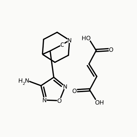 Nc1nonc1C1CN2CCC1CC2.O=C(O)C=CC(=O)O